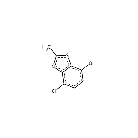 Cc1nc2c(Cl)ccc(O)c2s1